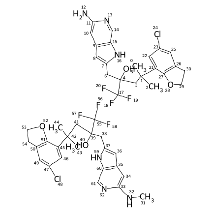 CC(C)(CC(O)(Cc1cc2cc(N)ncc2[nH]1)C(F)(F)F)c1cc(Cl)cc2c1OCC2.CNc1cc2cc(CC(O)(CC(C)(C)c3cc(Cl)cc4c3OCC4)C(F)(F)F)[nH]c2cn1